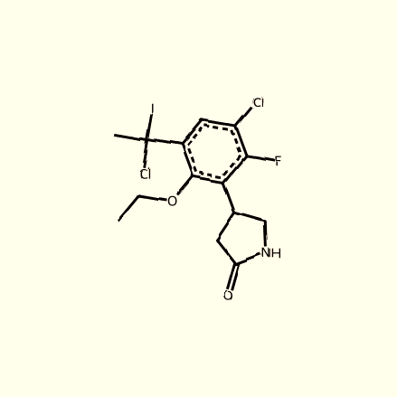 CCOc1c(C(C)(Cl)I)cc(Cl)c(F)c1C1CNC(=O)C1